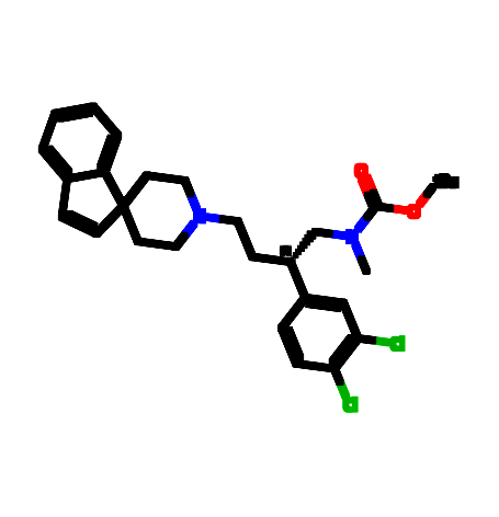 CN(C[C@@H](CCN1CCC2(C=Cc3ccccc32)CC1)c1ccc(Cl)c(Cl)c1)C(=O)OC(C)(C)C